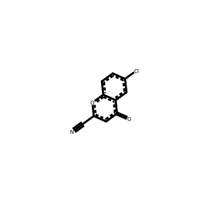 N#Cc1cc(=O)c2cc(Cl)ccc2o1